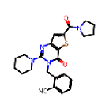 N#Cc1ccccc1Cn1c(N2CCCCC2)nc2cc(C(=O)N3CCCC3)sc2c1=O